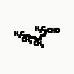 CC(C)=CCCC(C)C/C=C/C(C)C=O